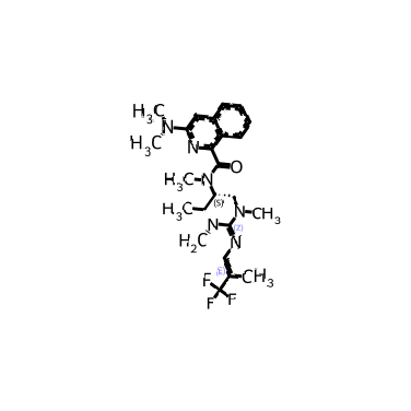 C=N/C(=N\C=C(/C)C(F)(F)F)N(C)C[C@H](CC)N(C)C(=O)c1nc(N(C)C)cc2ccccc12